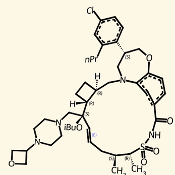 CCCc1cc(Cl)ccc1[C@@H]1COc2ccc3cc2N(C1)C[C@@H]1CC[C@H]1[C@](CN1CCN(C2COC2)CC1)(OCC(C)C)/C=C/C[C@H](C)[C@@H](C)S(=O)(=O)NC3=O